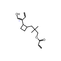 C=CC(=O)OCC(C)(C)CC1CCC1/C(C=C)=C/O